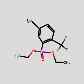 Bc1ccc(C(F)(F)F)c(P(=O)(OCC)OCC)c1